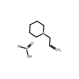 C=CCN1CCCCC1.O=[N+]([O-])O